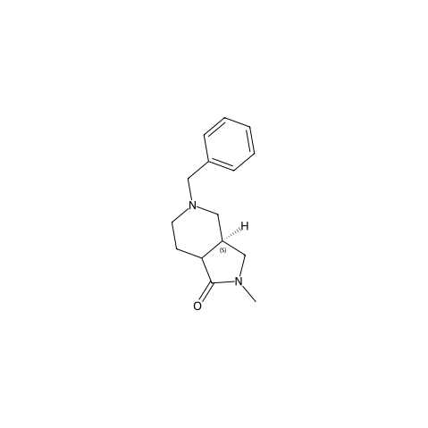 CN1C[C@@H]2CN(Cc3ccccc3)CCC2C1=O